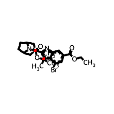 CCOC(=O)c1cc(Br)c2oc(N3CC4CCC(C3)N4C(=O)OC(C)(C)C)nc2c1